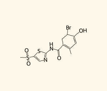 CC1=C(C(=O)Nc2ncc(S(C)(=O)=O)s2)CC(Br)C(O)=C1